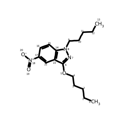 CCCCCOc1nn(CCCCC)c2ccc([N+](=O)[O-])cc12